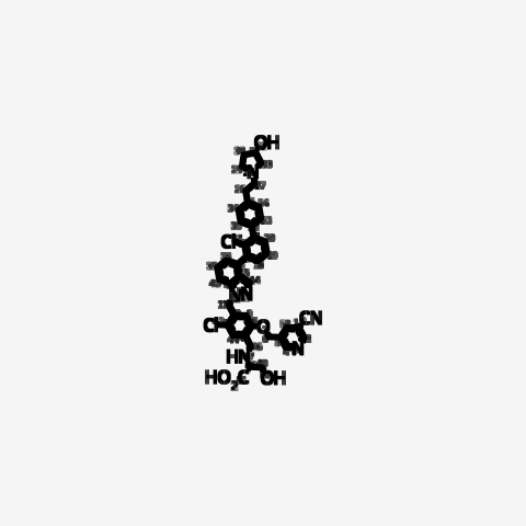 N#Cc1cncc(COc2cc(Cn3ncc4c(-c5cccc(-c6ccc(CCN7CC[C@@H](O)C7)cc6)c5Cl)cccc43)c(Cl)cc2CN[C@@H](CO)C(=O)O)c1